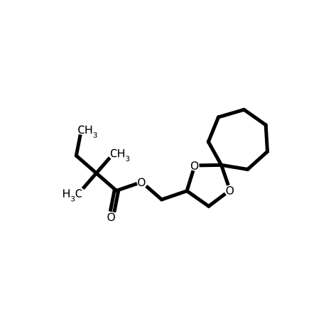 CCC(C)(C)C(=O)OCC1COC2(CCCCCC2)O1